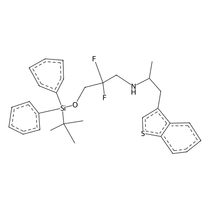 CC(Cc1csc2ccccc12)NCC(F)(F)CO[Si](c1ccccc1)(c1ccccc1)C(C)(C)C